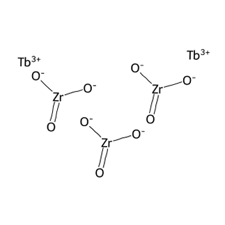 [O]=[Zr]([O-])[O-].[O]=[Zr]([O-])[O-].[O]=[Zr]([O-])[O-].[Tb+3].[Tb+3]